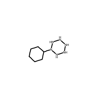 C1CC[C](N2NNNNN2)CC1